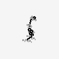 CC(C)CCC[C@@H](C)[C@H]1CC[C@H]2[C@@H]3CC=C4C[C@@H](OC(=O)NCCCCC(=O)ON5C(=O)CCC5=O)CC[C@]4(C)[C@H]3CC[C@]12C